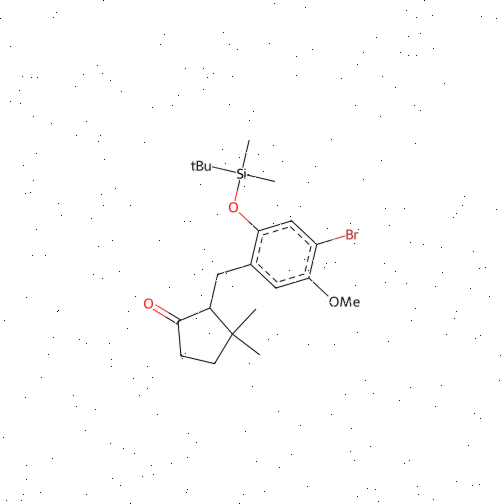 COc1cc(CC2C(=O)CCC2(C)C)c(O[Si](C)(C)C(C)(C)C)cc1Br